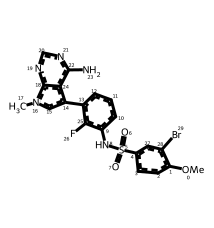 COc1ccc(S(=O)(=O)Nc2cccc(-c3cn(C)c4ncnc(N)c34)c2F)cc1Br